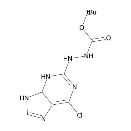 CC(C)(C)OC(=O)NNC1=NC(Cl)=C2N=CNC2N1